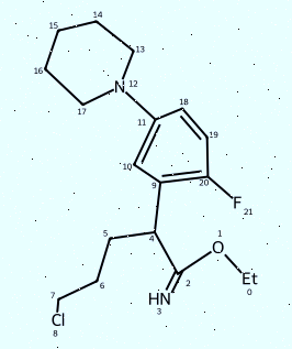 CCOC(=N)C(CCCCl)c1cc(N2CCCCC2)ccc1F